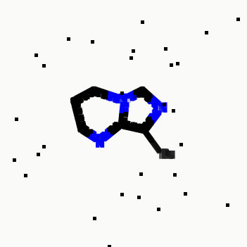 CCC(C)c1ncn2cccnc12